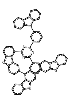 c1ccc(-c2nc(-c3cccc(-n4c5ccccc5c5ccccc54)c3)nc(-c3cccc4oc5ccc(-c6cc(-c7ccc8c(c7)sc7ccccc78)cc7sc8ccccc8c67)cc5c34)n2)cc1